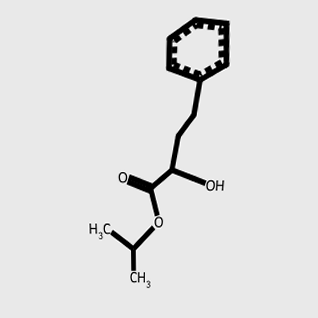 CC(C)OC(=O)C(O)CCc1ccccc1